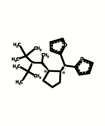 CC([C@@H]1CCC[C@@H]1P(c1ccco1)c1ccco1)P(C(C)(C)C)C(C)(C)C